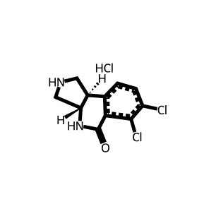 Cl.O=C1N[C@@H]2CNC[C@H]2c2ccc(Cl)c(Cl)c21